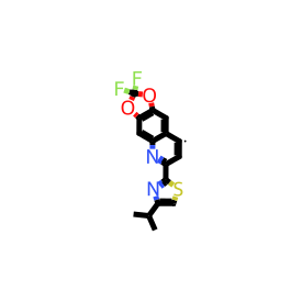 CC(C)c1csc(-c2c[c]c3cc4c(cc3n2)OC(F)(F)O4)n1